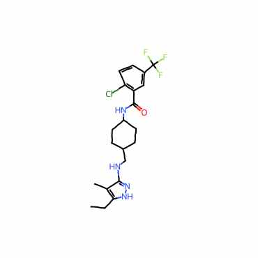 CCc1[nH]nc(NCC2CCC(NC(=O)c3cc(C(F)(F)F)ccc3Cl)CC2)c1C